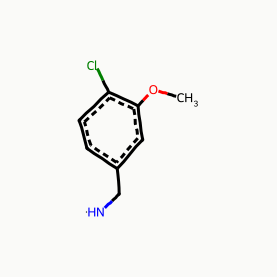 COc1cc(C[NH])ccc1Cl